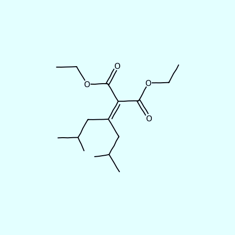 CCOC(=O)C(C(=O)OCC)=C(CC(C)C)CC(C)C